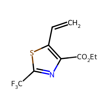 C=Cc1sc(C(F)(F)F)nc1C(=O)OCC